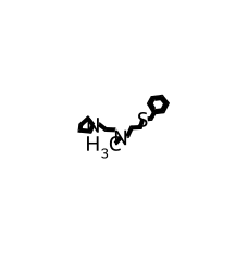 CN(CCCSCc1ccccc1)CCCN1CCCC1